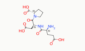 N[C@@H](CCC(=O)O)C(=O)N[C@@H](CC(=O)O)C(=O)N1CCC[C@H]1C(=O)O